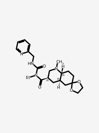 CCN(C(=O)NCc1ccccn1)C(=O)[C@@H]1C[C@@H]2CC3(CC[C@H]2N(C)C1)OCCO3